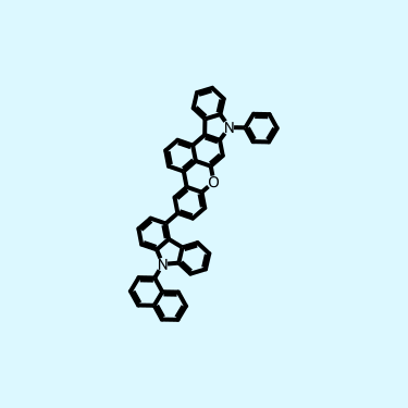 c1ccc(-n2c3ccccc3c3c4cccc5c4c(cc32)Oc2ccc(-c3cccc4c3c3ccccc3n4-c3cccc4ccccc34)cc2-5)cc1